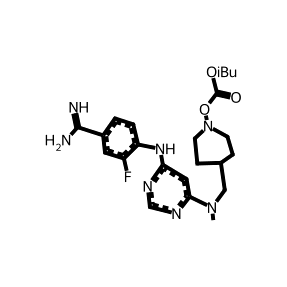 CC(C)COC(=O)ON1CCC(CN(C)c2cc(Nc3ccc(C(=N)N)cc3F)ncn2)CC1